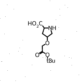 CC(C)(C)OC(=O)COC1CNC(C(=O)O)C1